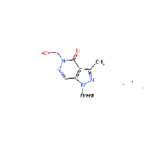 CCCCCn1nc(C)c2c(=O)n(CO)ncc21